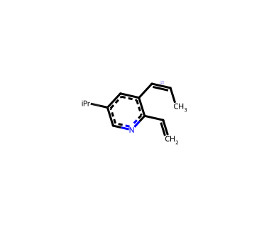 C=Cc1ncc(C(C)C)cc1/C=C\C